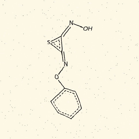 ON=c1sc1=NOc1ccccc1